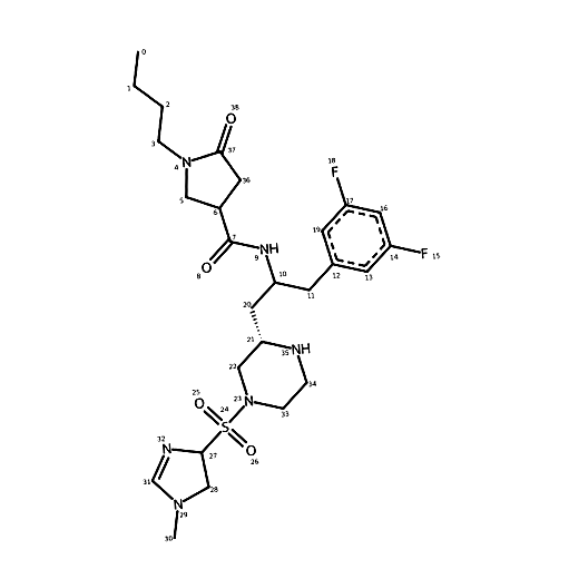 CCCCN1CC(C(=O)NC(Cc2cc(F)cc(F)c2)C[C@H]2CN(S(=O)(=O)C3CN(C)C=N3)CCN2)CC1=O